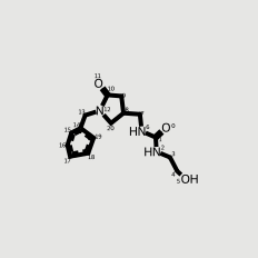 O=C(NCCO)NCC1CC(=O)N(Cc2ccccc2)C1